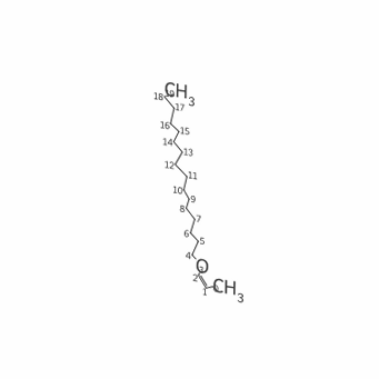 C/C=C\OCCCCCCCCCCCCCCCC